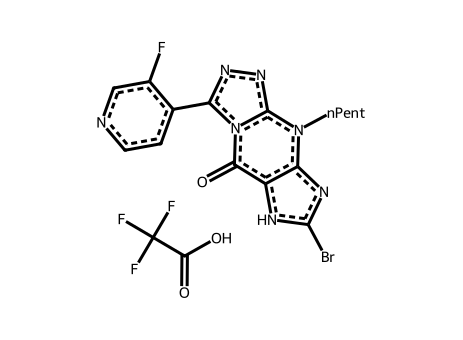 CCCCCn1c2nc(Br)[nH]c2c(=O)n2c(-c3ccncc3F)nnc12.O=C(O)C(F)(F)F